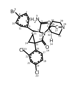 NC(=O)[C@H](Cc1ccc(Br)cc1)N(C(=O)C1(c2ccc(Cl)cc2Cl)CC1)[C@@H]1CN2CCC1CC2